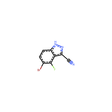 N#Cc1n[nH]c2ccc(Br)c(F)c12